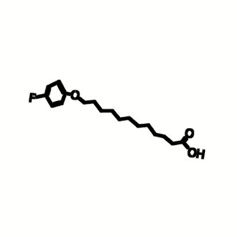 O=C(O)CCCCCCCCCCCOc1ccc(F)cc1